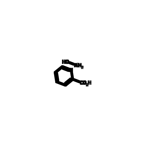 O=C(O)c1ccccn1.[OH][AlH2]